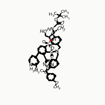 COc1ccc(CN(Cc2ccc(OC)cc2)S(=O)(=O)c2c(S(=O)(=O)NC(CO)CNC(=O)OC(C)(C)C)ccc(-c3ccnc(N)c3)c2-c2nnn(Cc3ccc(OC)cc3)n2)cc1